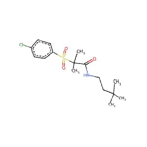 CC(C)(C)CCNC(=O)C(C)(C)S(=O)(=O)c1ccc(Cl)cc1